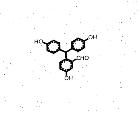 O=Cc1cc(O)ccc1C(c1ccc(O)cc1)c1ccc(O)cc1